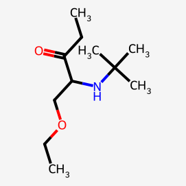 CCOCC(NC(C)(C)C)C(=O)CC